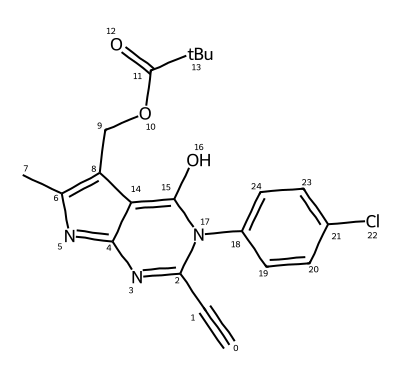 C#Cc1nc2nc(C)c(COC(=O)C(C)(C)C)c-2c(O)n1-c1ccc(Cl)cc1